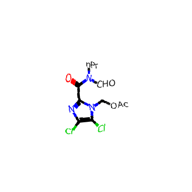 CCCN(C=O)C(=O)c1nc(Cl)c(Cl)n1COC(C)=O